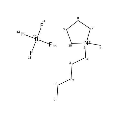 CCCCC[N+]1(C)CCCC1.F[B-](F)(F)F